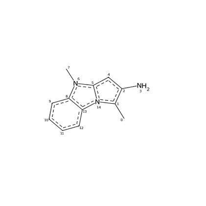 Cc1c(N)cc2n(C)c3ccccc3n12